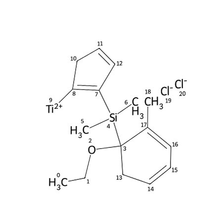 CCOC1([Si](C)(C)C2=[C]([Ti+2])CC=C2)CC=CC=C1C.[Cl-].[Cl-]